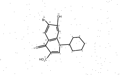 O=C(O)c1cn(C2CCCCC2)c2cc(O)c(Br)cc2c1=O